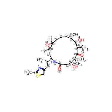 C/C(=C\c1csc(C)n1)C1C[C@@H]2O[C@@H]2CCC[C@H](C)[C@H](O)[C@@H](C)C(=O)C(C)(C)[C@@H](O)CC(=O)N1